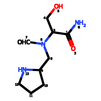 NC(=O)C(CO)N(C=O)CC1CCCN1